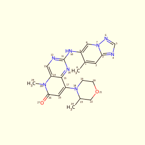 Cc1cc2ncnn2cc1Nc1ncc2c(n1)c(N1CCOCC1C)cc(=O)n2C